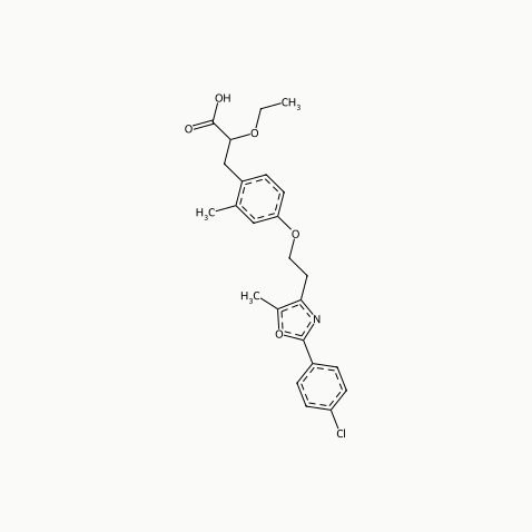 CCOC(Cc1ccc(OCCc2nc(-c3ccc(Cl)cc3)oc2C)cc1C)C(=O)O